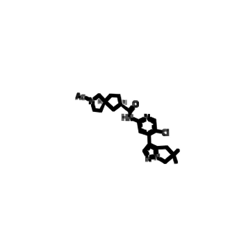 CC(=O)N1CC[C@]2(CC[C@@H](C(=O)Nc3cc(-c4cnn5c4CC(C)(C)C5)c(Cl)cn3)C2)C1